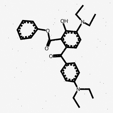 CCN(CC)c1ccc(C(=O)c2ccc(N(CC)CC)c(O)c2C(=O)Oc2ccccc2)cc1